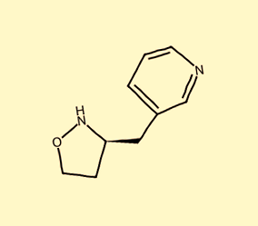 c1cncc(C[C@H]2CCON2)c1